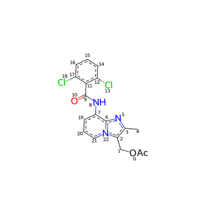 CC(=O)OCc1c(C)nc2c(NC(=O)c3c(Cl)cccc3Cl)cccn12